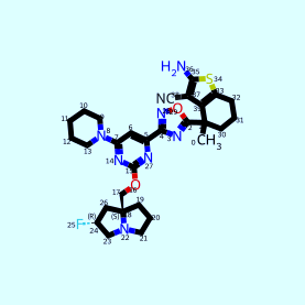 CC1(c2nc(-c3cc(N4CCCCC4)nc(OC[C@@]45CCCN4C[C@H](F)C5)n3)no2)CCCc2sc(N)c(C#N)c21